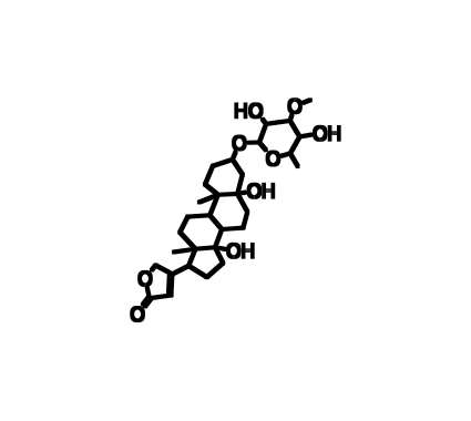 COC1C(O)C(C)OC(OC2CCC3(C)C4CCC5(C)C(C6=CC(=O)OC6)CCC5(O)C4CCC3(O)C2)C1O